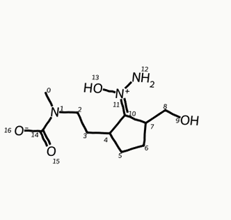 CN(CCC1CCC(CO)C1=[N+](N)O)C(=O)[O-]